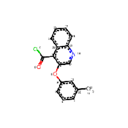 O=C(Cl)c1c(Oc2cccc(C(F)(F)F)c2)cnc2ccccc12